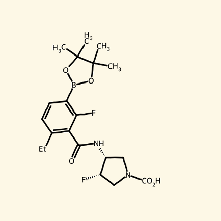 CCc1ccc(B2OC(C)(C)C(C)(C)O2)c(F)c1C(=O)N[C@@H]1CN(C(=O)O)C[C@@H]1F